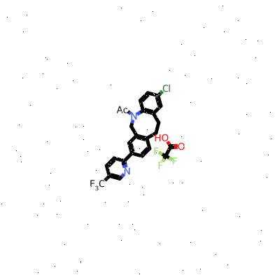 CC(=O)N1Cc2cc(-c3ccc(C(F)(F)F)cn3)ccc2CCc2cc(Cl)ccc21.O=C(O)C(F)(F)F